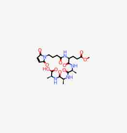 COC(=O)CCC(NC(=O)CCCN1C(=O)C=CC1=O)C(=O)N[C@@H](C)C(=O)N[C@@H](C)C(=O)N[C@@H](C)C(=O)O